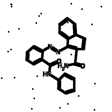 NC(=O)c1ccc2ccccc2c1N=Nc1ccccc1C(=O)Nc1ccccc1